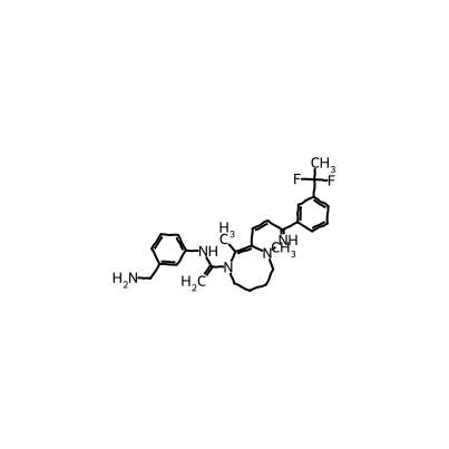 C=C(Nc1cccc(CN)c1)N1CCCCN(C)C(/C=C\C(=N)c2cccc(C(C)(F)F)c2)=C\1C